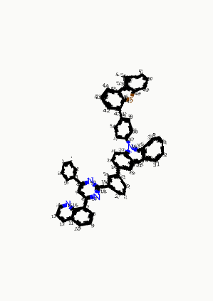 c1ccc(-c2cc(-c3cccc4cccnc34)nc(-c3cccc(-c4ccc5c(c4)c4ccccc4n5-c4ccc(-c5cccc6c5sc5ccccc56)cc4)c3)n2)cc1